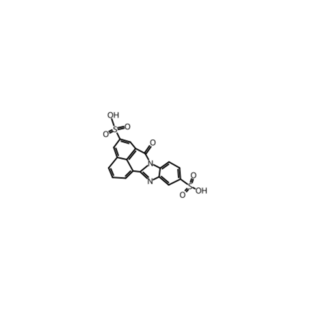 O=c1c2cc(S(=O)(=O)O)cc3cccc(c32)c2nc3cc(S(=O)(=O)O)ccc3n12